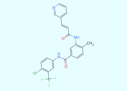 Cc1ccc(C(=O)Nc2ccc(Cl)c(C(F)(F)F)c2)cc1NC(=O)C=Cc1cccnc1